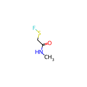 CNC(=O)CSF